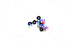 [2H]C1(O)CCCC1([2H])Nc1nc2nn(Cc3ccc(-c4cccc(F)n4)cc3)c(Nc3ccccc3)c2c(=O)n1C